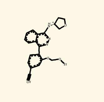 C#Cc1ccc(-c2nnc(N[C@@H]3CCOC3)c3ccccc23)c(OCOCC)c1